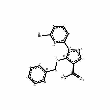 O=C(O)c1cnn(-c2cccc(Br)n2)c1SCc1ccccc1